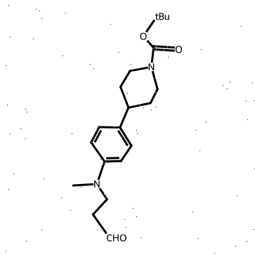 CN(CCC=O)c1ccc(C2CCN(C(=O)OC(C)(C)C)CC2)cc1